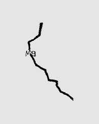 CCCCC[CH2][Mg][CH2]CC